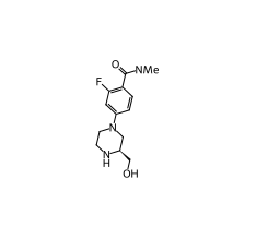 CNC(=O)c1ccc(N2CCN[C@H](CO)C2)cc1F